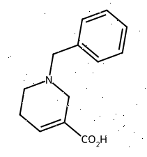 O=C(O)C1=CCCN(Cc2ccccc2)C1